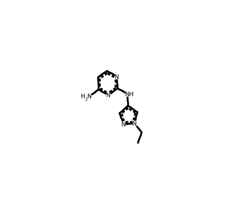 CCn1cc(Nc2nccc(N)n2)cn1